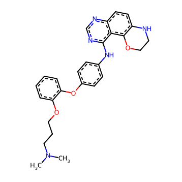 CN(C)CCCOc1ccccc1Oc1ccc(Nc2ncnc3ccc4c(c23)OCCN4)cc1